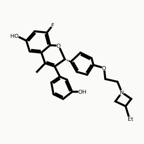 CCC1CN(CCOc2ccc([C@H]3Oc4c(F)cc(O)cc4C(C)=C3c3cccc(O)c3)cc2)C1